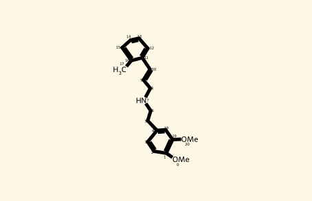 COc1ccc(CCNCC=Cc2ccccc2C)cc1OC